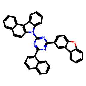 c1ccc2c(-c3nc(-c4ccc5oc6ccccc6c5c4)nc(-n4c5ccccc5c5c6ccccc6ccc54)n3)cccc2c1